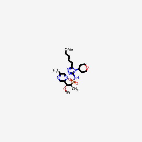 COCCCCc1nnc(NS(=O)(=O)[C@@H](C)[C@@H](OC(C)C)c2cnc(C)cn2)n1C1CCOCC1